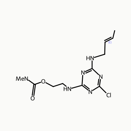 C/C=C/CNc1nc(Cl)nc(NCCOC(=O)NC)n1